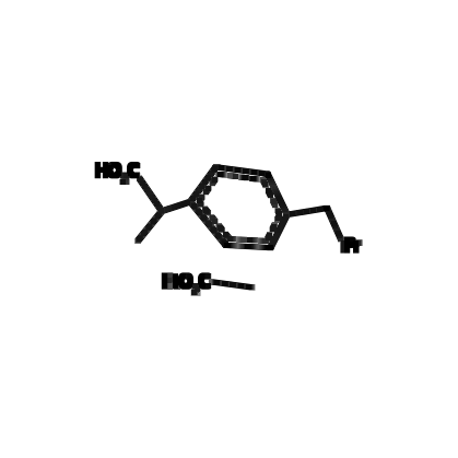 CC(C)Cc1ccc(C(C)C(=O)O)cc1.CCOC(C)=O